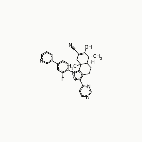 C[C@H]1C(O)=C(C#N)C[C@@]2(C)c3c(c(-c4ccncn4)nn3-c3ccc(-c4cccnc4)cc3F)CC[C@H]12